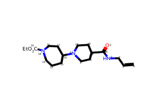 C=CCNC(=O)C1CCN(C2CCCN(C(=O)OCC)CC2)CC1